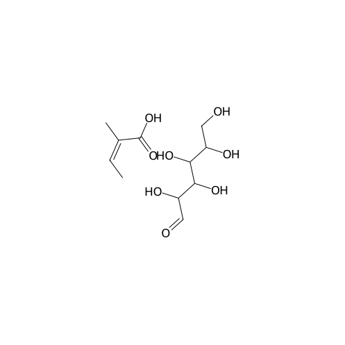 CC=C(C)C(=O)O.O=CC(O)C(O)C(O)C(O)CO